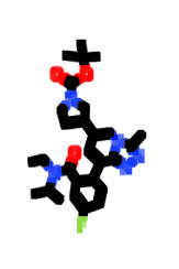 CCN(C(=O)c1cc(F)ccc1-c1cc(C2=CCN(C(=O)OC(C)(C)C)C2)cn2c(C)nnc12)C(C)C